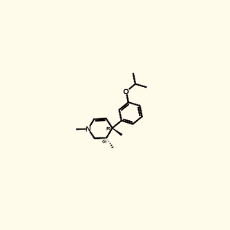 CC(C)Oc1cccc([C@@]2(C)C=CN(C)C[C@H]2C)c1